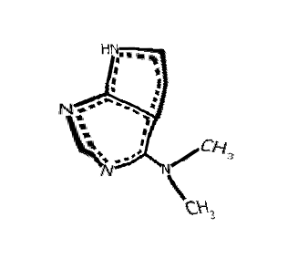 CN(C)c1ncnc2[nH]ccc12